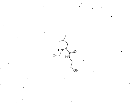 CC(C)CC(NC=O)C(=O)NCCO